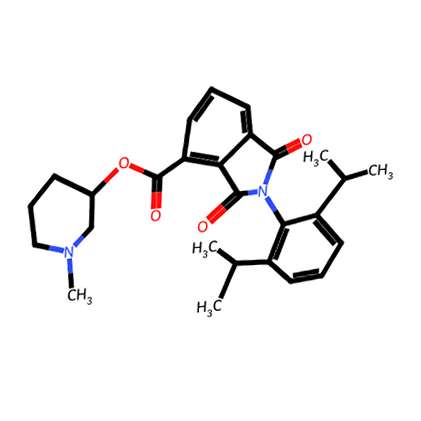 CC(C)c1cccc(C(C)C)c1N1C(=O)c2cccc(C(=O)OC3CCCN(C)C3)c2C1=O